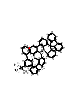 Cc1cc2c3c(c1)N(c1ccc(C(C)(C)C)cc1-c1ccccc1)c1c(ccc4sc5ccccc5c14)B3N1c3ccccc3C3(c4ccccc4-c4ccccc43)c3cccc-2c31